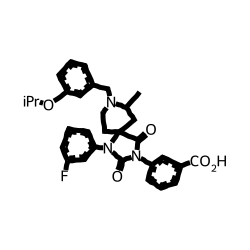 CC(C)Oc1cccc(CN2CCC3(CC2C)C(=O)N(c2cccc(C(=O)O)c2)C(=O)N3c2cccc(F)c2)c1